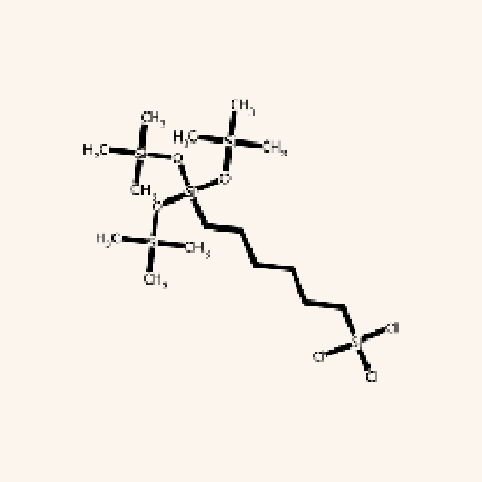 C[Si](C)(C)O[Si](CCCCCC[Si](Cl)(Cl)Cl)(O[Si](C)(C)C)O[Si](C)(C)C